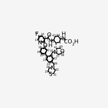 O=C(O)NC1CCC(NC(=O)c2cc(F)cnc2Oc2cccc(-c3ccc(CN4CCSCC4)cc3CN3CCOCC3)c2)CC1